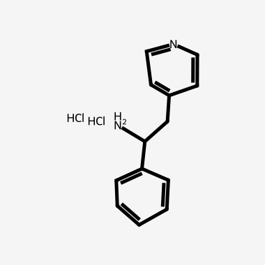 Cl.Cl.NC(Cc1ccncc1)c1ccccc1